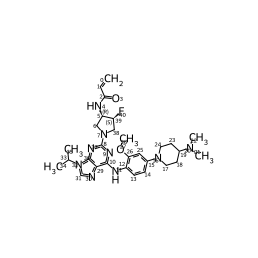 C=CC(=O)N[C@@H]1CN(c2nc(Nc3ccc(N4CCC(N(C)C)CC4)cc3OC)c3ncn(C(C)C)c3n2)C[C@@H]1F